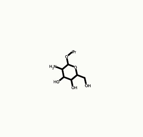 CC(C)OC1OC(CO)C(O)C(O)C1N